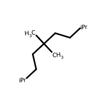 CC(C)CCC(C)(C)CCC(C)C